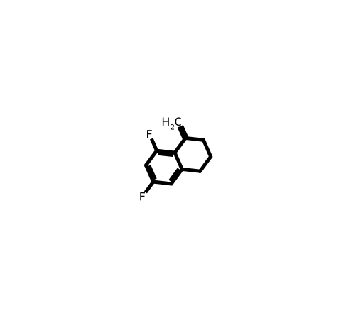 C=C1CCCc2cc(F)cc(F)c21